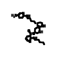 C1CCNCC1.C1CCNCC1.CCCCCNc1ccc(N)cn1.CCCCCNc1ncccc1[N+](=O)[O-]